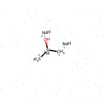 C[SiH](C)O.[NaH].[NaH]